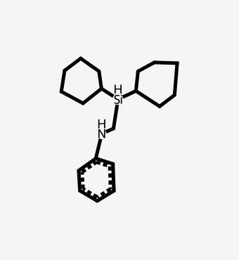 c1ccc(NC[SiH](C2CCCCC2)C2CCCCC2)cc1